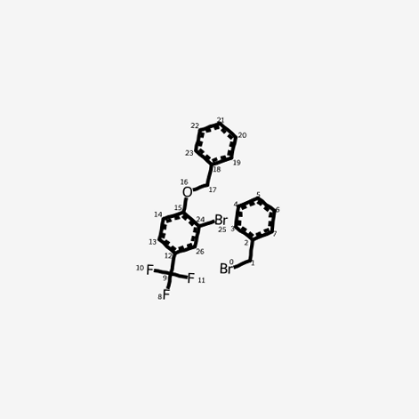 BrCc1ccccc1.FC(F)(F)c1ccc(OCc2ccccc2)c(Br)c1